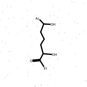 CCC(=O)C(O)CCCC(O)C(C)=O